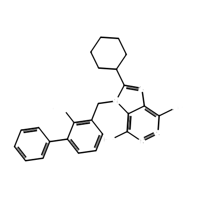 CCCc1nnc(O)c2c1nc(C1CCCCC1)n2Cc1cccc(-c2ccccc2)c1C(=O)O